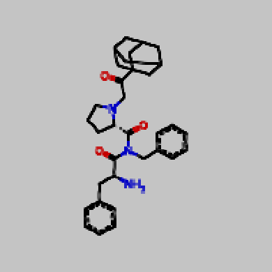 N[C@@H](Cc1ccccc1)C(=O)N(Cc1ccccc1)C(=O)[C@@H]1CCCN1CC(=O)C12CC3CC(CC(C3)C1)C2